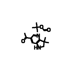 CC(=O)c1cnc2c(c1)NCC2(C)C.CC(C)(C)OC=O